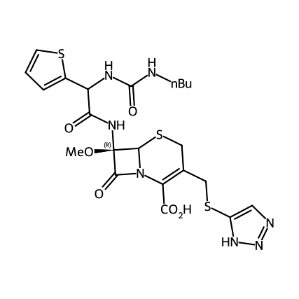 CCCCNC(=O)NC(C(=O)N[C@@]1(OC)C(=O)N2C(C(=O)O)=C(CSc3cnn[nH]3)CSC21)c1cccs1